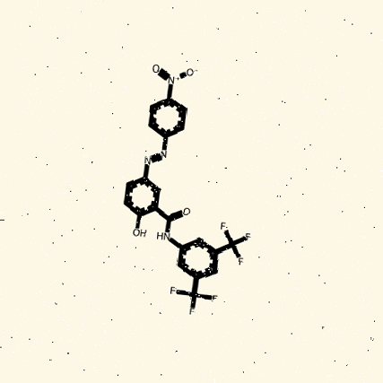 O=C(Nc1cc(C(F)(F)F)cc(C(F)(F)F)c1)c1cc(N=Nc2ccc([N+](=O)[O-])cc2)ccc1O